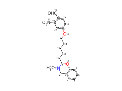 CN(Cc1ccccc1)C(=O)CCCCCOc1ccc(C=O)c([N+](=O)[O-])c1